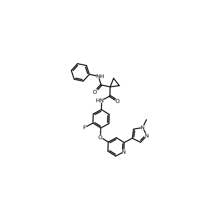 Cn1cc(-c2cc(Oc3ccc(NC(=O)C4(C(=O)Nc5ccccc5)CC4)cc3F)ccn2)cn1